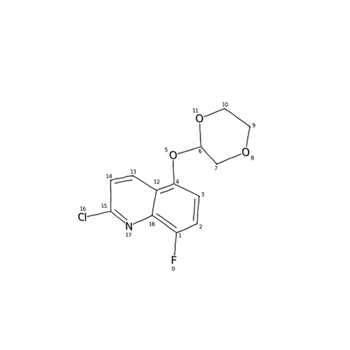 Fc1ccc(OC2COCCO2)c2ccc(Cl)nc12